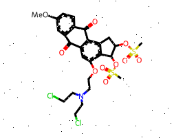 COc1ccc2c(c1)C(=O)c1cc(OCCN(CCCl)CCCl)c3c(c1C2=O)CC(OS(C)(=O)=O)C3OS(C)(=O)=O